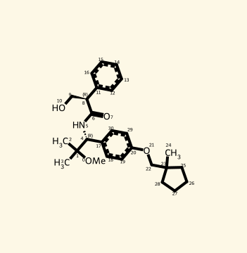 COC(C)(C)[C@H](NC(=O)[C@@H](CO)c1ccccc1)c1ccc(OCC2(C)CCCC2)cc1